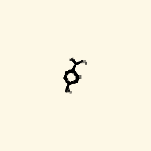 Cc1ccc([CH](C)[Al])cc1.Cl